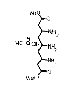 COC(=O)CC(N)CC(N)CC(N)CC(=O)OC.Cl.Cl.Cl